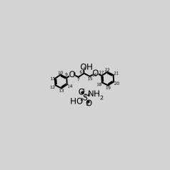 NS(=O)(=O)O.OC(COc1ccccc1)COc1ccccc1